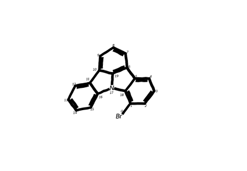 Brc1cccc2c3cccc4c5ccccc5n(c12)c43